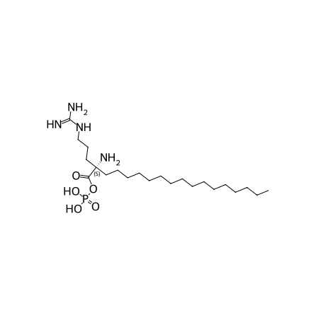 CCCCCCCCCCCCCCCC[C@](N)(CCCNC(=N)N)C(=O)OP(=O)(O)O